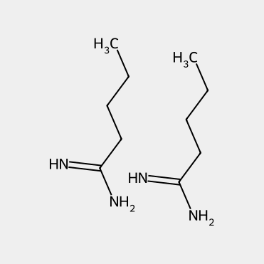 CCCCC(=N)N.CCCCC(=N)N